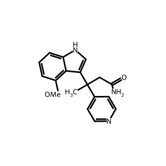 COc1cccc2[nH]cc(C(C)(CC(N)=O)c3ccncc3)c12